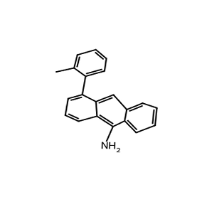 Cc1ccccc1-c1cccc2c(N)c3ccccc3cc12